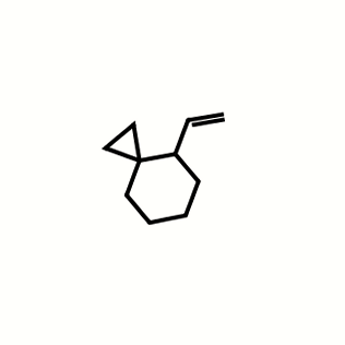 C=CC1CCCCC12CC2